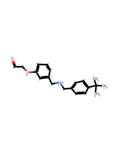 CC(C)(C)c1ccc(CNCc2cccc(OCC=O)c2)cc1